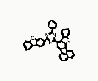 c1ccc(-c2nc(-c3ccc4c(c3)oc3ccccc34)nc(-c3cc4c(c5sc6ccccc6c35)-c3cccc5cccc-4c35)n2)cc1